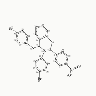 O=[N+]([O-])c1ccc(SCc2ccccc2C(Sc2ccc(Br)cc2)Sc2ccc(Br)cc2)nc1